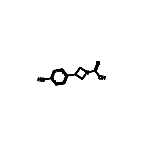 O=C(O)N1CC(c2ccc(O)cc2)C1